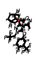 Cc1noc(N2C[C@H]3CC[C@@H](C2)C3Nc2nc(Oc3ccc(F)c(C(F)(F)F)c3)n(CC(F)(F)F)n2)n1